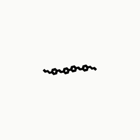 C=CCCc1ccc(C=Cc2ccc(-c3ccc(C=Cc4ccc(CCC=C)cc4)cc3)cc2)cc1